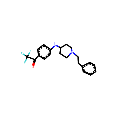 O=C(c1ccc(NC2CCN(CCc3ccccc3)CC2)cc1)C(F)(F)F